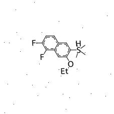 CCOc1cc2c(F)c(F)ccc2cc1[SH](C)(C)(C)C